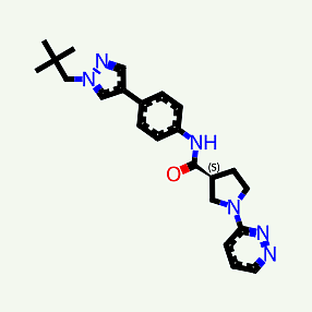 CC(C)(C)Cn1cc(-c2ccc(NC(=O)[C@H]3CCN(c4cccnn4)C3)cc2)cn1